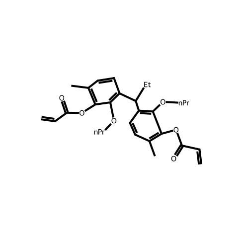 C=CC(=O)Oc1c(C)ccc(C(CC)c2ccc(C)c(OC(=O)C=C)c2OCCC)c1OCCC